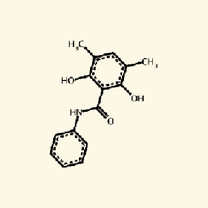 Cc1cc(C)c(O)c(C(=O)Nc2ccccc2)c1O